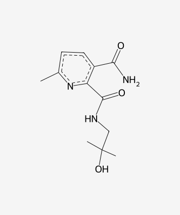 Cc1ccc(C(N)=O)c(C(=O)NCC(C)(C)O)n1